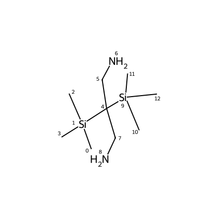 C[Si](C)(C)C(CN)(CN)[Si](C)(C)C